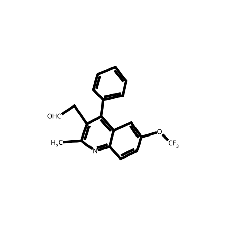 Cc1nc2ccc(OC(F)(F)F)cc2c(-c2ccccc2)c1CC=O